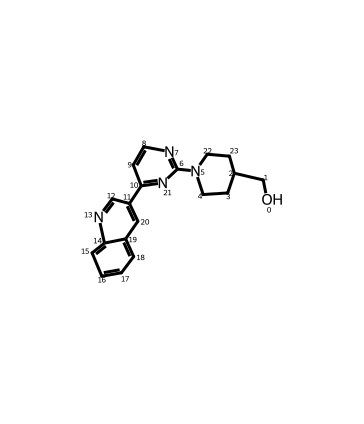 OCC1CCN(c2nccc(-c3cnc4ccccc4c3)n2)CC1